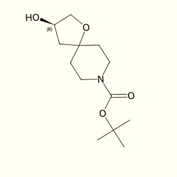 CC(C)(C)OC(=O)N1CCC2(CC1)C[C@@H](O)CO2